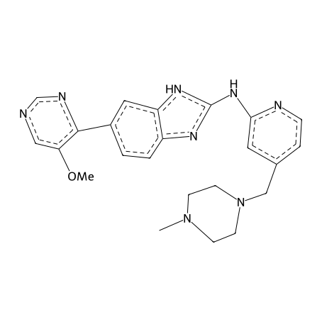 COc1cncnc1-c1ccc2nc(Nc3cc(CN4CCN(C)CC4)ccn3)[nH]c2c1